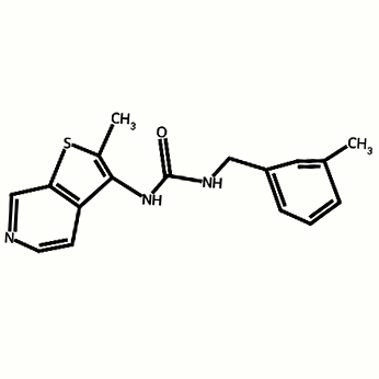 Cc1cccc(CNC(=O)Nc2c(C)sc3cnccc23)c1